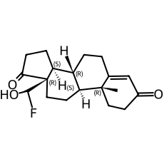 C[C@]12CCC(=O)C=C1CC[C@@H]1[C@@H]2CC[C@]2(C(O)F)C(=O)CC[C@@H]12